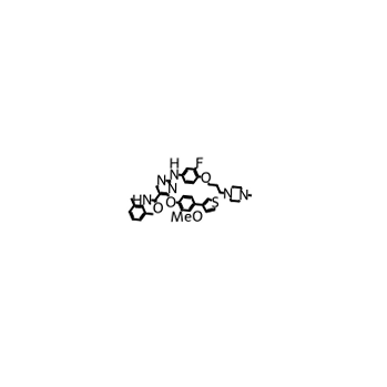 COc1cc(-c2ccsc2)ccc1Oc1nc(Nc2ccc(OCCCN3CCN(C)CC3)c(F)c2)ncc1C(=O)Nc1c(C)cccc1C